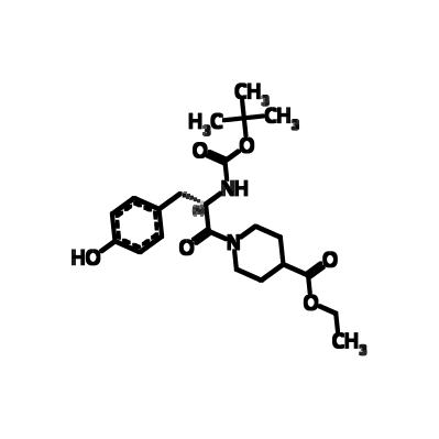 CCOC(=O)C1CCN(C(=O)[C@H](Cc2ccc(O)cc2)NC(=O)OC(C)(C)C)CC1